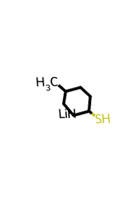 CC1CCC(S)CC1.[LiH]